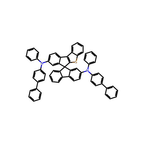 c1ccc(-c2ccc(N(c3ccccc3)c3ccc4c(c3)C3(c5ccccc5-4)c4cc(N(c5ccccc5)c5ccc(-c6ccccc6)cc5)ccc4-c4c3sc3ccccc43)cc2)cc1